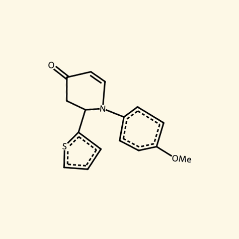 COc1ccc(N2C=CC(=O)CC2c2cccs2)cc1